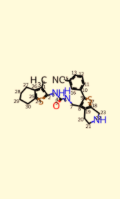 Cc1c(NC(=O)NCc2c(-c3cccc(C#N)c3)sc3c2CCNC3)sc2c1CCCC2